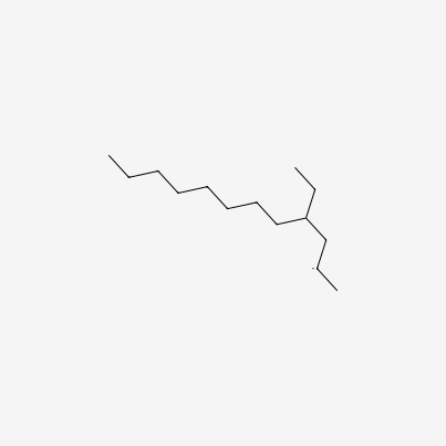 C[CH]CC(CC)CCCCCCCC